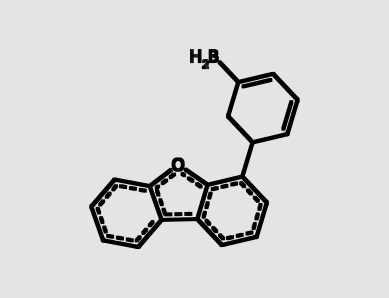 BC1=CC=CC(c2cccc3c2oc2ccccc23)C1